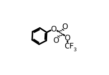 O=S(=O)(Oc1ccccc1)OC(F)(F)F